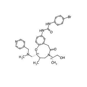 CC1CN([C@@H](C)CO)C(=O)Cc2cc(NC(=O)Nc3ccc(Br)cc3)ccc2O[C@H]1CN(C)Cc1ccncc1